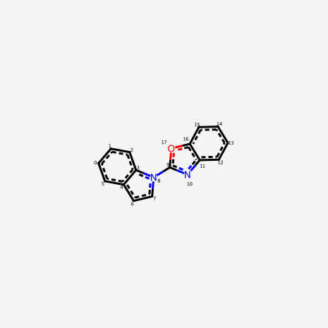 c1ccc2c(c1)ccn2-c1nc2ccccc2o1